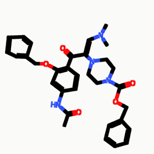 CC(=O)Nc1ccc(C(=O)C(=CN(C)C)N2CCN(C(=O)OCc3ccccc3)CC2)c(OCc2ccccc2)c1